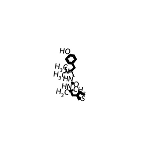 CN(C)[C@H](CNC(=O)NC(C)(C)Cc1ccsc1)Cc1ccc(O)cc1